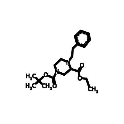 CCOC(=O)C1CN(C(=O)OC(C)(C)C)CCN1CCc1ccccc1